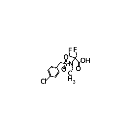 CCN(C(CF)(CF)C(=O)O)S(=O)(=O)Cc1ccc(Cl)cc1